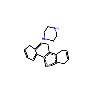 C1=CCC2=CCc3c(ccc4c3CC=CC4)C2=C1.C1CNCCN1